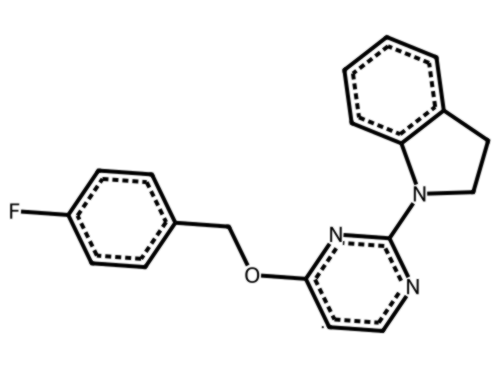 Fc1ccc(COc2[c]cnc(N3CCc4ccccc43)n2)cc1